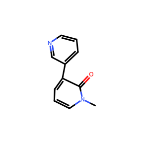 Cn1cccc(-c2cccnc2)c1=O